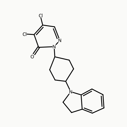 O=c1c(Cl)c(Cl)cnn1C1CCC(N2CCc3ccccc32)CC1